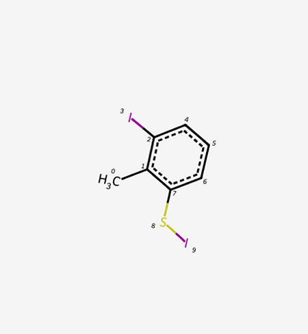 Cc1c(I)cccc1SI